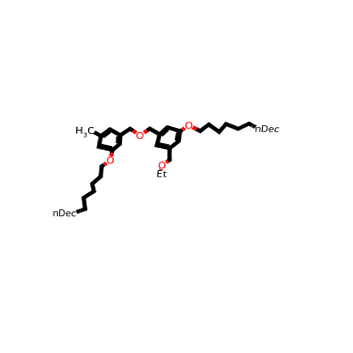 CCCCCCCCCCCCCCCCOc1cc(C)cc(COCc2cc(COCC)cc(OCCCCCCCCCCCCCCCC)c2)c1